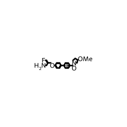 CO[C@H]1CCN(C(=O)C23CCC(c4ccc(OC/C(=C/F)CN)cc4)(CC2)CC3)C1